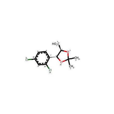 CC1(C)O[C@H](C(=O)O)[C@@H](c2ccc(Cl)cc2Cl)O1